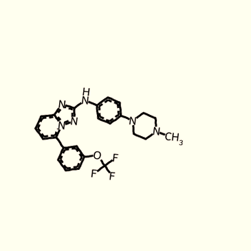 CN1CCN(c2ccc(Nc3nc4cccc(-c5cccc(OC(F)(F)F)c5)n4n3)cc2)CC1